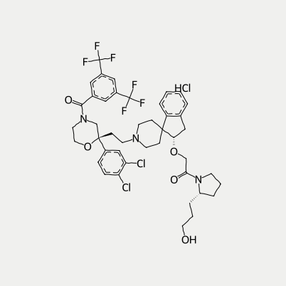 Cl.O=C(c1cc(C(F)(F)F)cc(C(F)(F)F)c1)N1CCO[C@@](CCN2CCC3(CC2)c2ccccc2C[C@@H]3OCC(=O)N2CCC[C@@H]2CCCO)(c2ccc(Cl)c(Cl)c2)C1